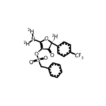 [2H]N([2H])C1=C(OS(=O)(=O)Cc2ccccc2)C(=O)[C@]([2H])(c2ccc(C(F)(F)F)cc2)O1